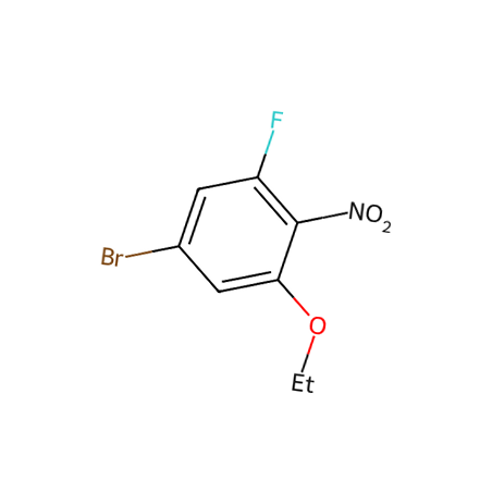 CCOc1cc(Br)cc(F)c1[N+](=O)[O-]